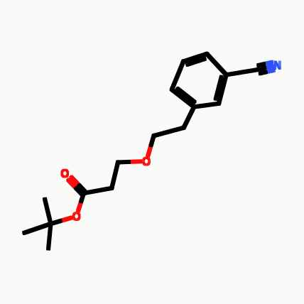 CC(C)(C)OC(=O)CCOCCc1cccc(C#N)c1